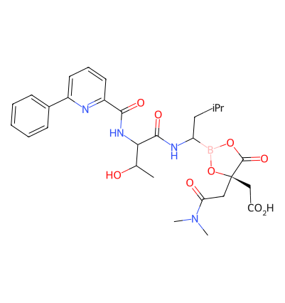 CC(C)CC(NC(=O)C(NC(=O)c1cccc(-c2ccccc2)n1)C(C)O)B1OC(=O)[C@](CC(=O)O)(CC(=O)N(C)C)O1